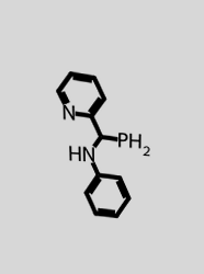 PC(Nc1ccccc1)c1ccccn1